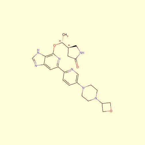 C[C@@H](Oc1nc(-c2ccc(N3CCN(C4COC4)CC3)cn2)cc2nc[nH]c12)[C@H]1CNC(=O)C1